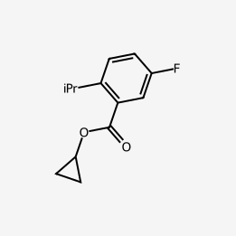 CC(C)c1ccc(F)cc1C(=O)OC1CC1